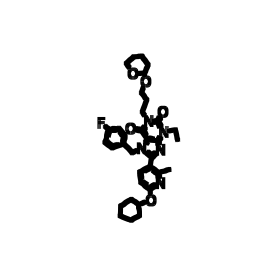 CCn1c(=O)n(CCCOC2CCCCO2)c(=O)c2c1nc(-c1ccc(OC3CCCCC3)nc1C)n2Cc1ccc(F)cc1